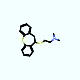 CN(C)CCSC1Cc2ccccc2Sc2ccccc21